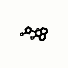 CCN(C(=O)c1cccc(Cl)c1)c1cccc2ccccc12